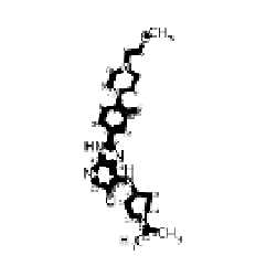 COCCN1CCN(c2ccc(-c3nc4c(NC5CCN(C(C)C)CC5)c(Cl)cnc4[nH]3)cc2F)CC1